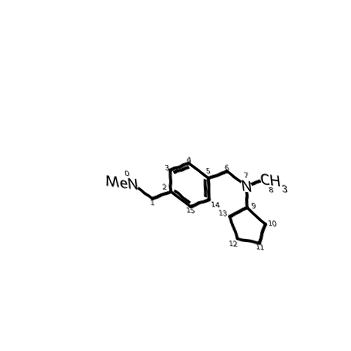 CNCc1ccc(CN(C)C2CCCC2)cc1